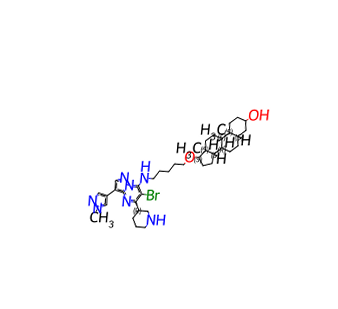 Cn1cc(-c2cnn3c(NCCCCCO[C@H]4CC[C@H]5[C@@H]6CC[C@H]7CC(O)CC[C@]7(C)[C@H]6CC[C@]45C)c(Br)c([C@@H]4CCCNC4)nc23)cn1